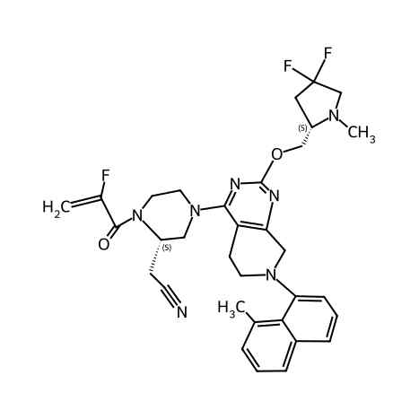 C=C(F)C(=O)N1CCN(c2nc(OC[C@@H]3CC(F)(F)CN3C)nc3c2CCN(c2cccc4cccc(C)c24)C3)C[C@@H]1CC#N